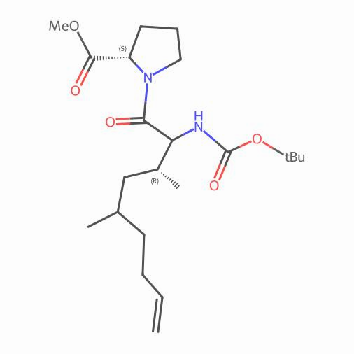 C=CCCC(C)C[C@@H](C)C(NC(=O)OC(C)(C)C)C(=O)N1CCC[C@H]1C(=O)OC